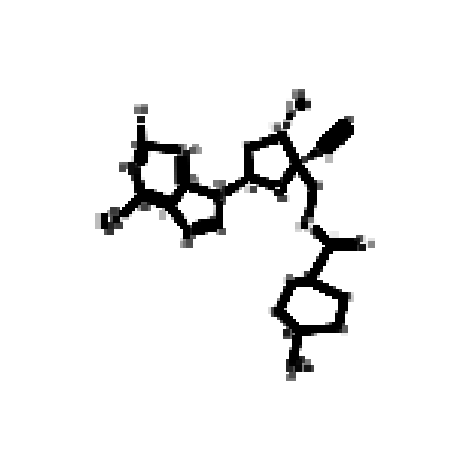 C#C[C@]1(COC(=O)C2CCC(CCCC)CC2)O[C@@H](n2cnc3c(N)nc(F)nc32)C[C@@H]1O